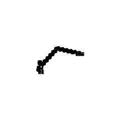 CC/C=C\OC(=O)CCCCCCCCC/C=C\CCCCCCCCC(C)(C)C